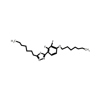 CCCCCCCOc1ccc(-c2nnc(CCCCCCC)s2)c(F)c1F